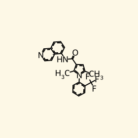 Cc1cc(C(=O)Nc2cccc3cnccc23)c(C)n1-c1ccccc1C(F)(F)F